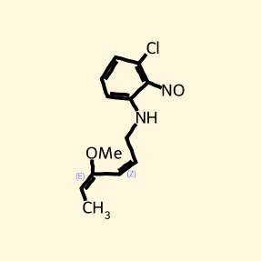 C/C=C(\C=C/CNc1cccc(Cl)c1N=O)OC